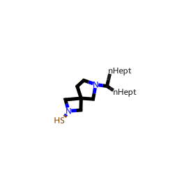 CCCCCCCC(CCCCCCC)N1CCC2(CN(S)C2)C1